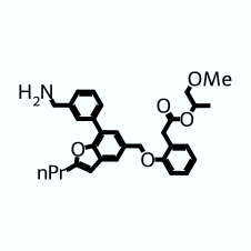 CCCc1cc2cc(COc3ccccc3CC(=O)OC(C)COC)cc(-c3cccc(CN)c3)c2o1